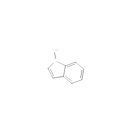 On1[c]cc2ccccc21